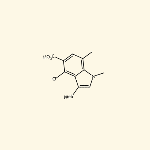 CSc1cn(C)c2c(C)cc(C(=O)O)c(Cl)c12